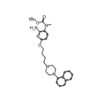 CN(C(=O)OC(C)(C)C)c1ccc(OCCCCN2CCN(c3cccc4ccccc34)CC2)nc1N